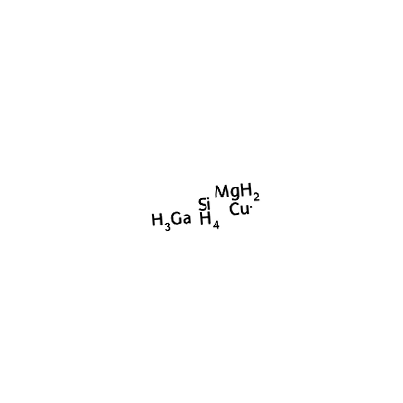 [Cu].[GaH3].[MgH2].[SiH4]